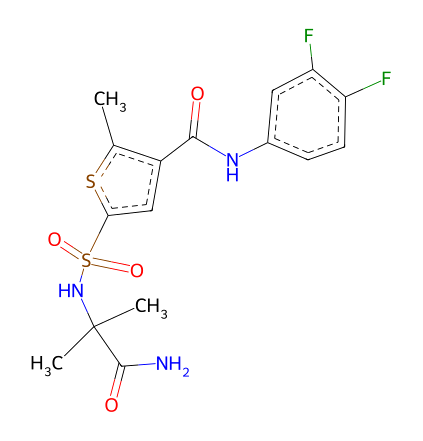 Cc1sc(S(=O)(=O)NC(C)(C)C(N)=O)cc1C(=O)Nc1ccc(F)c(F)c1